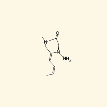 C/C=C\C=C1\CN(C)C(=O)CN1N